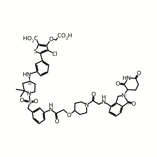 CC1(C)C[C@@H](Nc2cccc(-c3sc(C(=O)O)c(OCC(=O)O)c3Cl)c2)CCN1S(=O)(=O)Cc1cccc(NC(=O)COC2CCN(C(=O)CNc3cccc4c3CN(C3CCC(=O)NC3=O)C4=O)CC2)c1